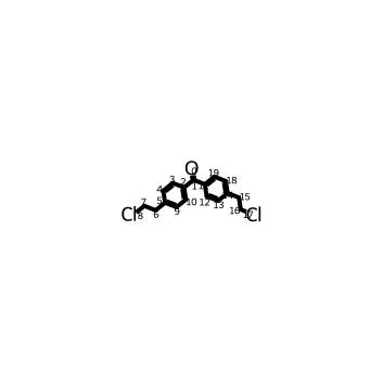 O=C(c1ccc(CCCl)cc1)c1ccc(CCCl)cc1